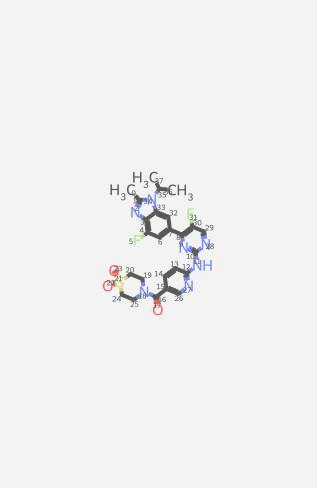 Cc1nc2c(F)cc(-c3nc(Nc4ccc(C(=O)N5CCS(=O)(=O)CC5)cn4)ncc3F)cc2n1C(C)C